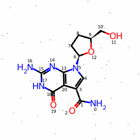 NC(=O)c1cn([C@H]2CC[C@@H](CO)O2)c2nc(N)[nH]c(=O)c12